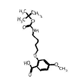 COc1ccc(C(=O)O)c(OCCCCNC(=O)OC(C)(C)C)c1